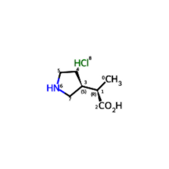 C[C@@H](C(=O)O)[C@@H]1CCNC1.Cl